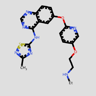 CCNCCOc1ccc(Oc2ccc3ncnc(Nc4nc(C)ns4)c3c2)nc1